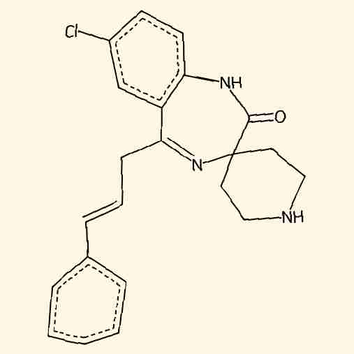 O=C1Nc2ccc(Cl)cc2C(CC=Cc2ccccc2)=NC12CCNCC2